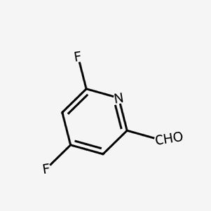 O=Cc1cc(F)cc(F)n1